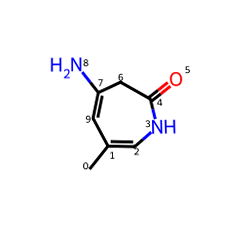 CC1=CNC(=O)CC(N)=C1